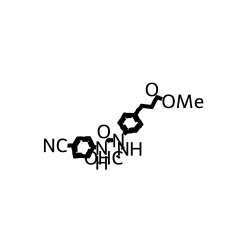 COC(=O)CCc1ccc(N(NC=O)C(=O)Nc2ccc(C#N)cc2)cc1